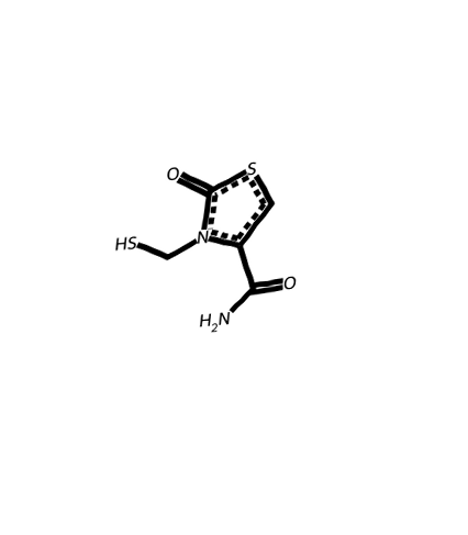 NC(=O)c1csc(=O)n1CS